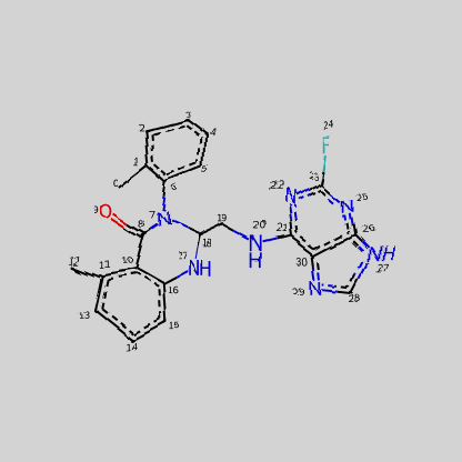 Cc1ccccc1N1C(=O)c2c(C)cccc2NC1CNc1nc(F)nc2[nH]cnc12